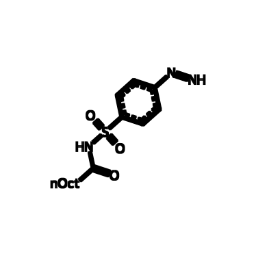 CCCCCCCCC(=O)NS(=O)(=O)c1ccc(N=N)cc1